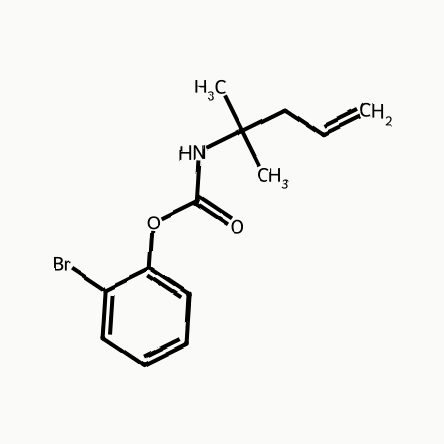 C=CCC(C)(C)NC(=O)Oc1ccccc1Br